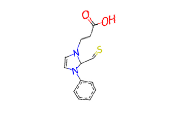 O=C(O)CCN1C=CN(c2ccccc2)C1C=S